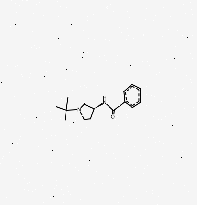 CC(C)(C)N1CC[C@H](NC(=O)c2ccccc2)C1